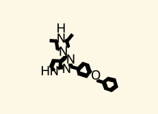 CC1CN(c2nc(-c3ccc(OCc4ccccc4)cc3)nc3[nH]ccc23)CC(C)N1